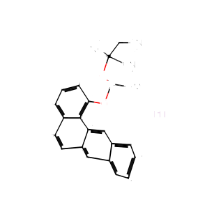 COB(Oc1cccc2ccc3cc4ccccc4cc3c12)OC(C#N)(C#N)CC#N.P